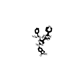 O=C1NCc2cc(Nc3ncc(-c4nc(-c5ccncc5)no4)c(N[C@H](CO)c4ccccc4)n3)ccc21